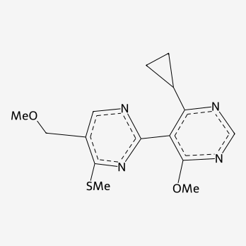 COCc1cnc(-c2c(OC)ncnc2C2CC2)nc1SC